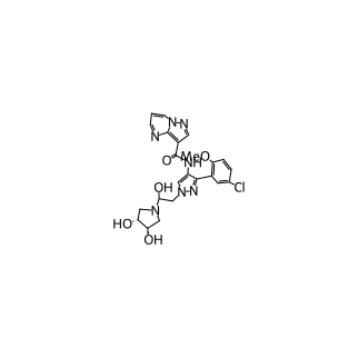 COc1ccc(Cl)cc1-c1nn(CC(O)N2C[C@@H](O)[C@H](O)C2)cc1NC(=O)c1cnn2cccnc12